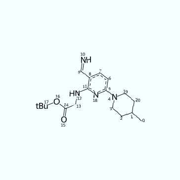 CC1CCN(c2ccc(C=N)c(NCC(=O)OC(C)(C)C)n2)CC1